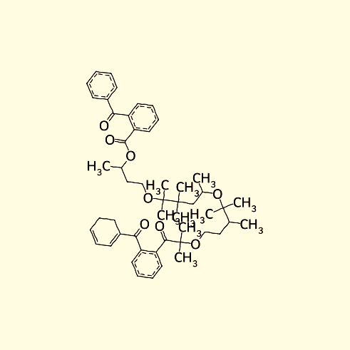 CC(CCOC(C)(C)C(C)(C)CC(C)OC(C)(C)C(C)CCOC(C)(C)C(=O)c1ccccc1C(=O)C1=CC=CCC1)OC(=O)c1ccccc1C(=O)c1ccccc1